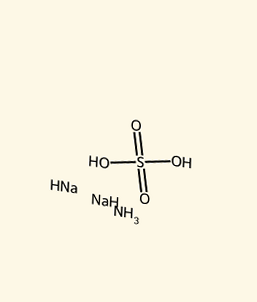 N.O=S(=O)(O)O.[NaH].[NaH]